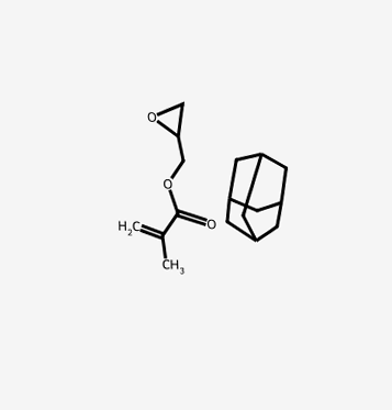 C1C2CC3CC1CC(C2)C3.C=C(C)C(=O)OCC1CO1